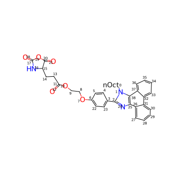 CCCCCCCCn1c(-c2ccc(OCCOC(=O)CCC3NC(=O)OC3=O)cc2)nc2c3ccccc3c3ccccc3c21